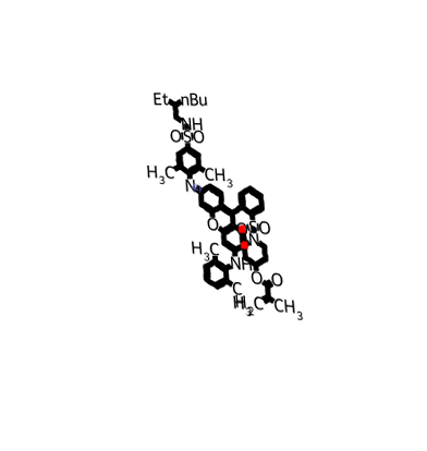 C=C(C)C(=O)OC1CCN(S(=O)(=O)c2ccccc2-c2c3cc/c(=N\c4c(C)cc(S(=O)(=O)NCC(CC)CCCC)cc4C)cc-3oc3cc(Nc4c(C)cccc4C)ccc23)CC1